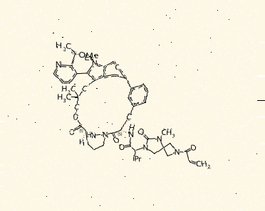 C=CC(=O)N1CC2(C1)CN(C(C(=O)N[C@H]1Cc3cccc(c3)-c3ccc4c(c3)c(c(-c3cccnc3[C@H](C)OC)n4CC)CC(C)(C)COC(=O)[C@@H]3CCCN(N3)C1=O)C(C)C)C(=O)N2C